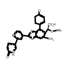 Cc1cc2nc(-c3ccnc(-c4ccc(=O)[nH]c4)c3)sc2c(C2=CC=C(Cl)CC2)c1[C@H](OC(C)(C)C)C(=O)O